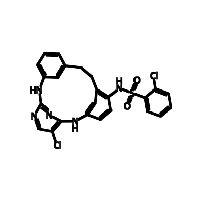 O=S(=O)(Nc1ccc2cc1CCc1cccc(c1)Nc1ncc(Cl)c(n1)N2)c1ccccc1Cl